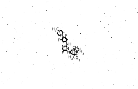 CN1CCN(c2c(F)cc(Nc3ncc(F)c(NC4CC(C)(C)N(C)C(C)(C)C4)n3)cc2F)CC1